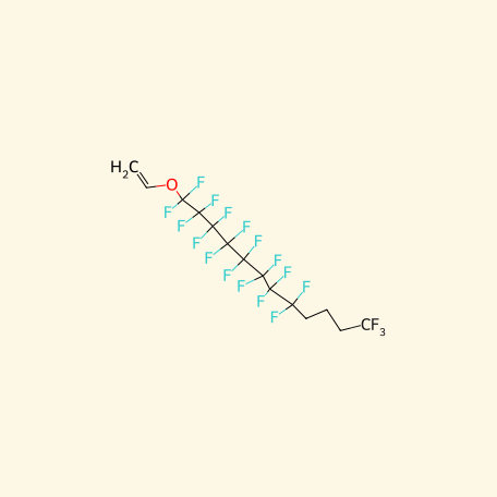 C=COC(F)(F)C(F)(F)C(F)(F)C(F)(F)C(F)(F)C(F)(F)C(F)(F)C(F)(F)CCCC(F)(F)F